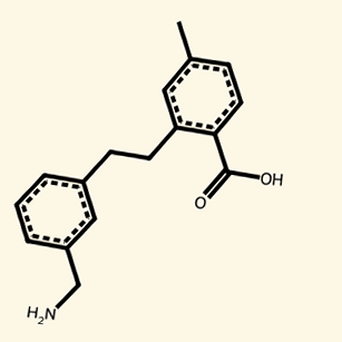 Cc1ccc(C(=O)O)c(CCc2cccc(CN)c2)c1